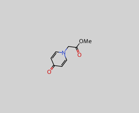 COC(=O)Cn1ccc(=O)cc1